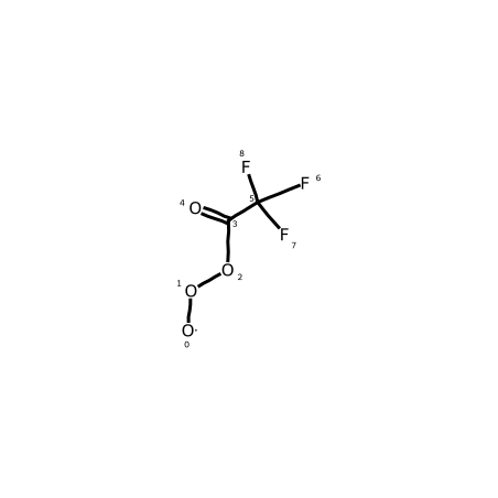 [O]OOC(=O)C(F)(F)F